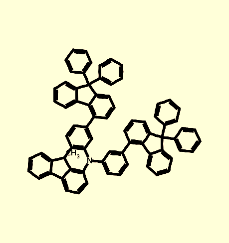 CC12c3ccccc3-c3cccc(c31)N(c1cccc(-c3cccc4c3-c3ccccc3C4(c3ccccc3)c3ccccc3)c1)c1cc(-c3cccc4c3-c3ccccc3C4(c3ccccc3)c3ccccc3)ccc12